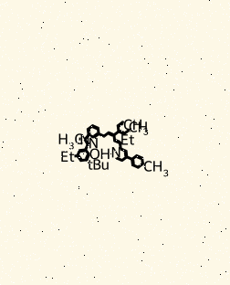 C#C/C=C(\C=C/C)C(/C=C(\CC)C1=NCCC(C2=CCC(C)C=C2)=C1)=C/Cc1cccc2c1nc(-c1cc(CC)cc(C(C)(C)C)c1O)n2C